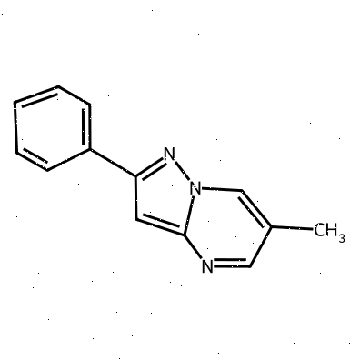 Cc1cnc2cc(-c3ccccc3)nn2c1